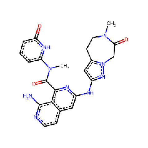 CN1CCc2cc(Nc3cc4ccnc(N)c4c(C(=O)N(C)c4cccc(=O)[nH]4)n3)nn2CC1=O